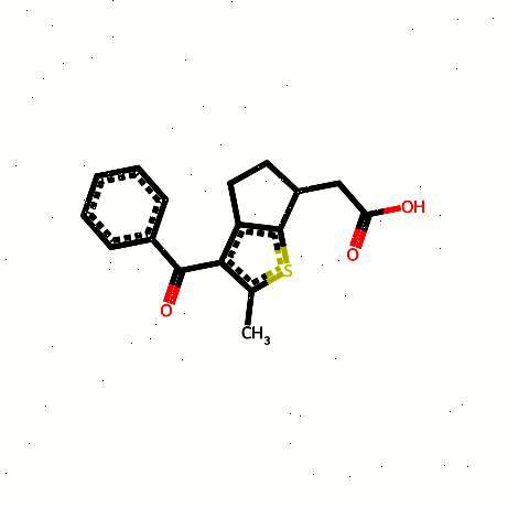 Cc1sc2c(c1C(=O)c1ccccc1)CCC2CC(=O)O